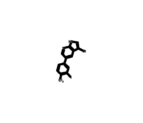 CCc1c[nH]c2ncc(-c3ccc(C(F)(F)F)c(I)c3)cc12